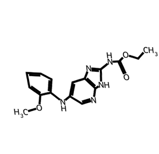 CCOC(=O)Nc1nc2cc(Nc3ccccc3OC)cnc2[nH]1